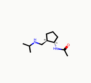 CC(=O)N[C@H]1CCC[C@@H]1CNC(C)C